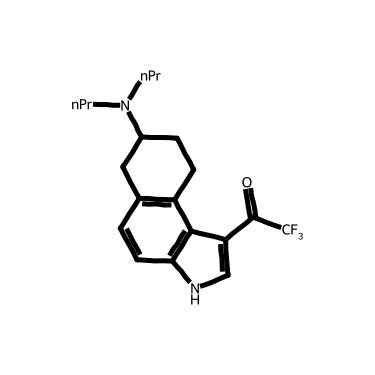 CCCN(CCC)C1CCc2c(ccc3[nH]cc(C(=O)C(F)(F)F)c23)C1